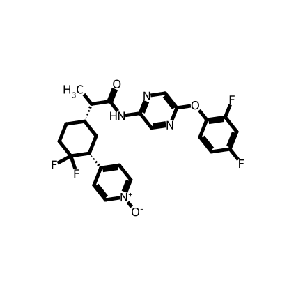 CC(C(=O)Nc1cnc(Oc2ccc(F)cc2F)cn1)[C@H]1CCC(F)(F)[C@@H](c2cc[n+]([O-])cc2)C1